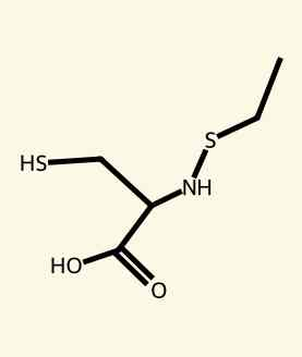 CCSNC(CS)C(=O)O